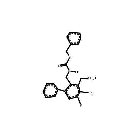 CCN(Cc1c(-c2ccccc2)cc(F)c(C(F)(F)F)c1CC(=O)O)C(=O)OCc1ccccc1